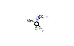 CCOC(=O)CNc1cc(CC(F)(F)F)c(Cl)cc1OC